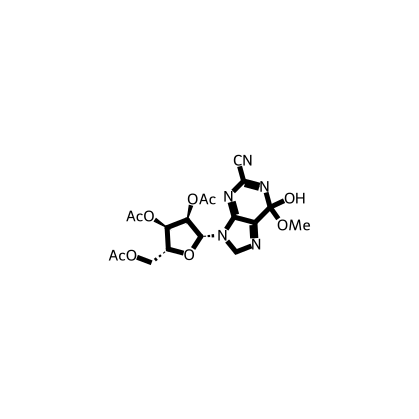 COC1(O)N=C(C#N)N=C2C1=NCN2[C@@H]1O[C@H](COC(C)=O)[C@@H](OC(C)=O)[C@H]1OC(C)=O